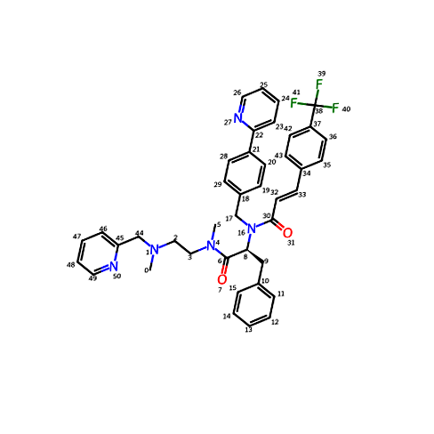 CN(CCN(C)C(=O)[C@H](Cc1ccccc1)N(Cc1ccc(-c2ccccn2)cc1)C(=O)/C=C/c1ccc(C(F)(F)F)cc1)Cc1ccccn1